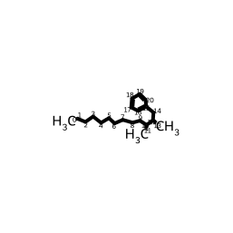 CCCCCCCCCCC(C)[C](C)Cc1ccccc1